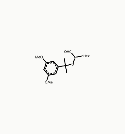 CCCCCCN(C=O)OC(C)(C)c1cc(OC)cc(OC)c1